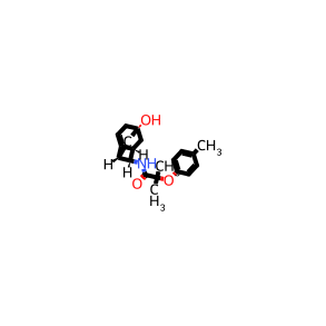 Cc1ccc(OC(C)(C)C(=O)N[C@@H]2[C@@H]3C[C@]4(O)CC=C3[C@@H]2C4)cc1